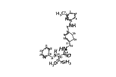 Cc1cccc(NCC2=CC=C(CNC(=O)[C@@H](NCc3ccccn3)C(C)[SiH3])CC2)n1